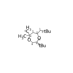 CC(C)(C)CC1CC(C)(C)OCC(C(C)(C)C)O1